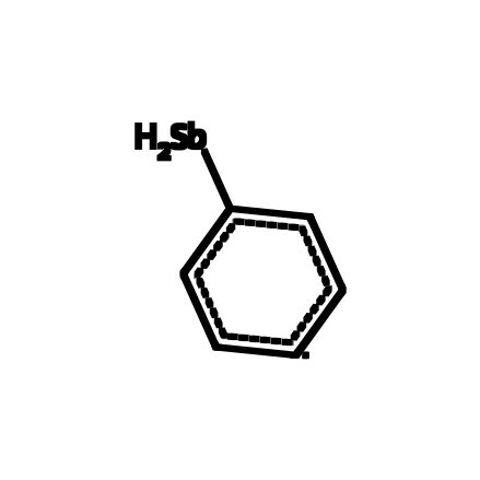 [SbH2][c]1cc[c]cc1